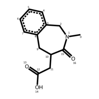 CN1Cc2ccccc2CC(CC(=O)O)C1=O